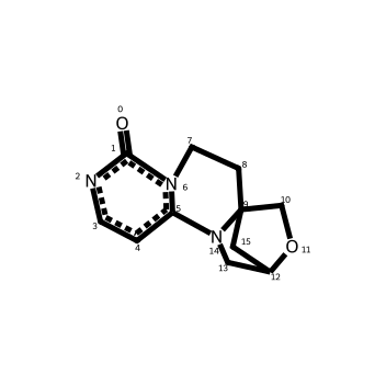 O=c1nccc2n1CCC13COC(CN21)C3